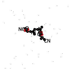 N#Cc1ccc(-c2ccc(-c3ccc4c(c3)C3(c5ccccc5O4)c4ccccc4-c4ccc(-c5cc(-c6ccccc6)nc(-c6ccc(-c7cccc(-c8cc(-c9ccc(-c%10ccc%11c(c%10)C%10(c%12ccccc%12Oc%12ccc(C#N)cc%12%10)c%10ccccc%10-%11)cc9)nc(-c9ccccc9)n8)c7)cc6)n5)cc43)c3ccccc23)cc1